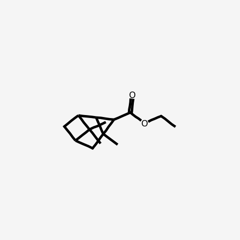 CCOC(=O)C1C2C3CC(CC12C)C3(C)C